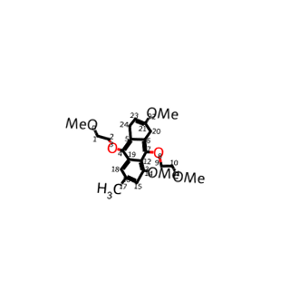 COCCOc1c2c(c(OCCOC)c3c(OC)cc(C)cc13)CC(OC)=CC2